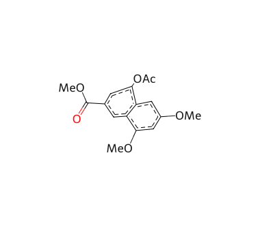 COC(=O)c1cc(OC(C)=O)c2cc(OC)cc(OC)c2c1